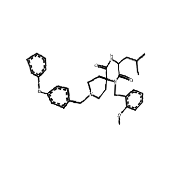 COc1ccccc1CN1C(=O)C(CC(C)C)NC(=O)C12CCN(Cc1ccc(Oc3ccccc3)cc1)CC2